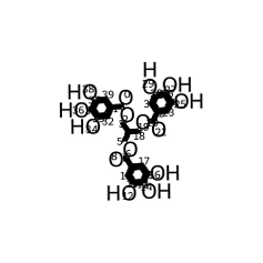 O=C(OCC(COC(=O)c1cc(O)c(O)c(O)c1)COC(=O)c1cc(O)c(O)c(O)c1)c1cc(O)c(O)c(O)c1